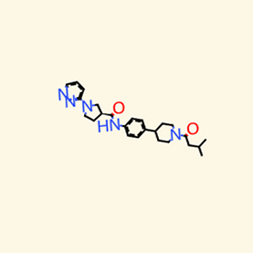 CC(C)CC(=O)N1CCC(c2ccc(NC(=O)[C@H]3CCN(c4cccnn4)C3)cc2)CC1